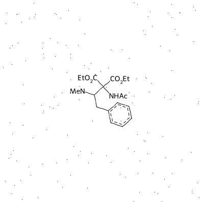 CCOC(=O)C(NC(C)=O)(C(=O)OCC)C(Cc1ccccc1)NC